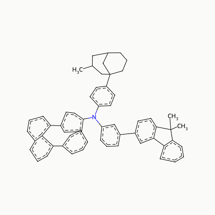 CC1CC2CCCC(c3ccc(N(c4ccc(-c5cccc6cccc(-c7ccccc7)c56)cc4)c4cccc(-c5ccc6c(c5)-c5ccccc5C6(C)C)c4)cc3)(C1)C2